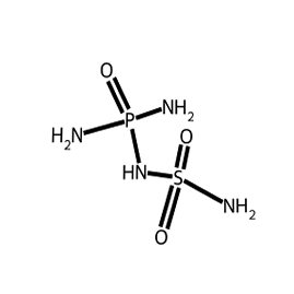 NP(N)(=O)NS(N)(=O)=O